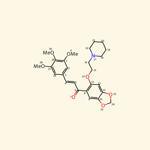 COc1cc(/C=C/C(=O)c2cc3c(cc2OCCN2CCCCC2)OCO3)cc(OC)c1OC